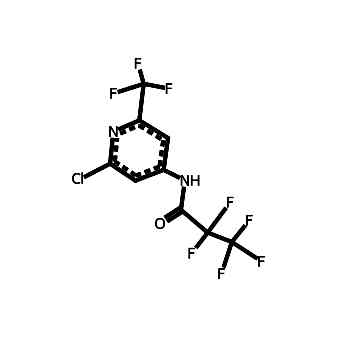 O=C(Nc1cc(Cl)nc(C(F)(F)F)c1)C(F)(F)C(F)(F)F